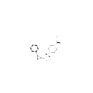 CC(C)OC(=O)N1CCN(S(=O)(=O)N(C(=O)O)C2CC2c2ccccc2)CC1